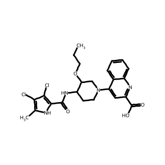 CCCOC1CN(c2cc(C(=O)O)nc3ccccc23)CCC1NC(=O)c1[nH]c(C)c(Cl)c1Cl